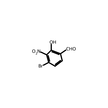 O=Cc1ccc(Br)c([N+](=O)[O-])c1O